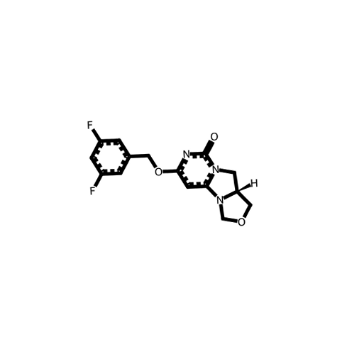 O=c1nc(OCc2cc(F)cc(F)c2)cc2n1C[C@@H]1COCN21